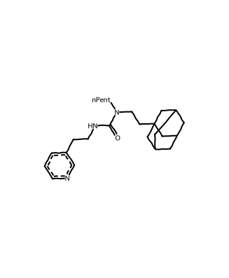 CCCCCN(CCC12CC3CC(CC(C3)C1)C2)C(=O)NCCc1cccnc1